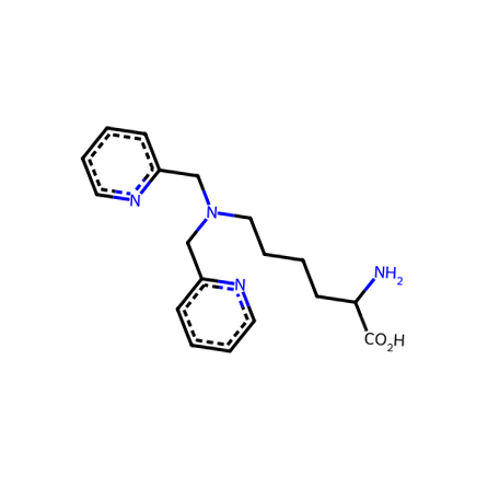 NC(CCCCN(Cc1ccccn1)Cc1ccccn1)C(=O)O